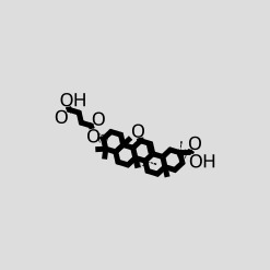 CC12CC[C@](C)(C(=O)O)CC1C1=CC(=O)C3C4(C)CC[C@H](OC(=O)CCC(=O)O)C(C)(C)C4CCC3(C)[C@]1(C)CC2